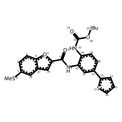 CSc1ccc2oc(C(=O)Nc3cc(-c4cccs4)ccc3NC(=O)OC(C)(C)C)cc2c1